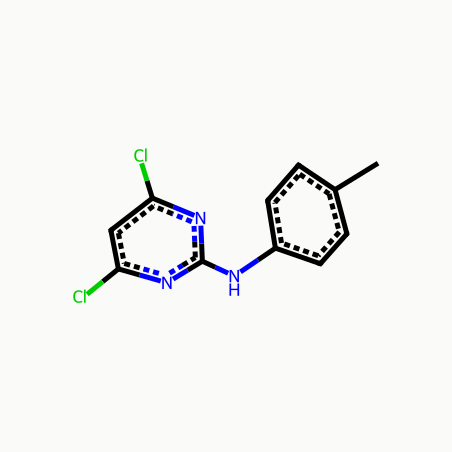 Cc1ccc(Nc2nc(Cl)cc(Cl)n2)cc1